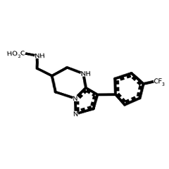 O=C(O)NCC1CNc2c(-c3ccc(C(F)(F)F)cc3)cnn2C1